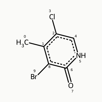 Cc1c(Cl)c[nH]c(=O)c1Br